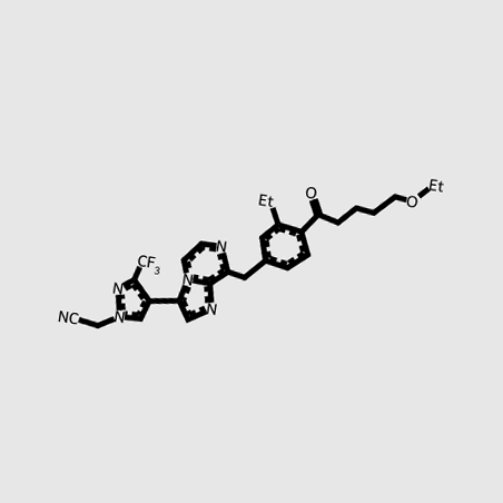 CCOCCCCC(=O)c1ccc(Cc2nccn3c(-c4cn(CC#N)nc4C(F)(F)F)cnc23)cc1CC